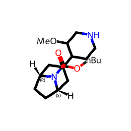 CCCCOC(=O)N1[C@@H]2CC[C@H]1CC(C1CCNCC1OC)C2